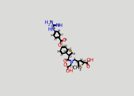 C[C@H](C(=O)O)N(Cc1csc(C(=O)O)c1)C(=O)c1csc2cc(OC(=O)c3ccc(NC(=N)N)cc3)ccc12